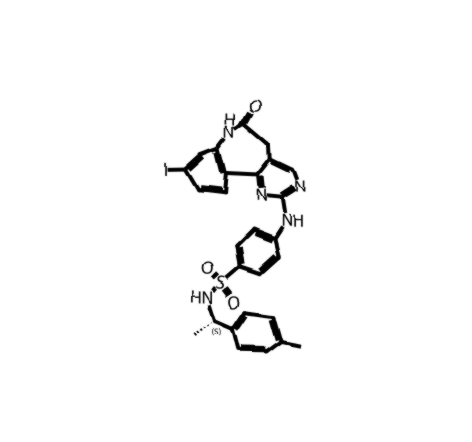 Cc1ccc([C@H](C)NS(=O)(=O)c2ccc(Nc3ncc4c(n3)-c3ccc(I)cc3NC(=O)C4)cc2)cc1